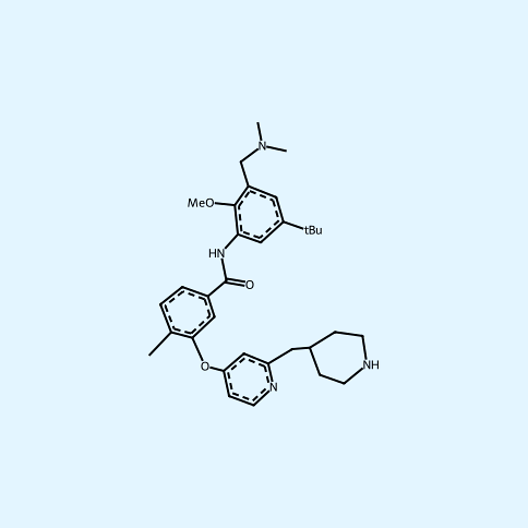 COc1c(CN(C)C)cc(C(C)(C)C)cc1NC(=O)c1ccc(C)c(Oc2ccnc(CC3CCNCC3)c2)c1